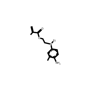 C=C(C)C(=O)OCCN(CC)c1ccc(N)c(C)c1